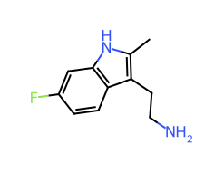 Cc1[nH]c2cc(F)ccc2c1CCN